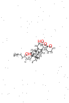 CC(C)CC[C@H](O)[C@@H](C)[C@H]1CC[C@H]2[C@@H]3CC=C4C[C@](O)(OC5CCCCO5)CC[C@]4(C)[C@H]3CC[C@]12C